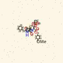 COc1ccc(COC(=O)C2=C(OS(=O)(=O)C(F)(F)F)CS[C@H]3[C@H](NC(=O)Cc4ccccc4)C(=O)N23)cc1